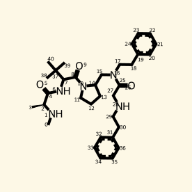 CN[C@@H](C)C(=O)NC(C(=O)N1CCCC1CN(CCc1ccccc1)C(=O)CNCCc1ccccc1)C(C)(C)C